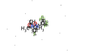 C[C@@H]1CN(C(C(=O)N(C)CCc2cc(C(F)(F)F)cc(C(F)(F)F)c2)c2ccc(F)cc2)C[C@H](C)O1